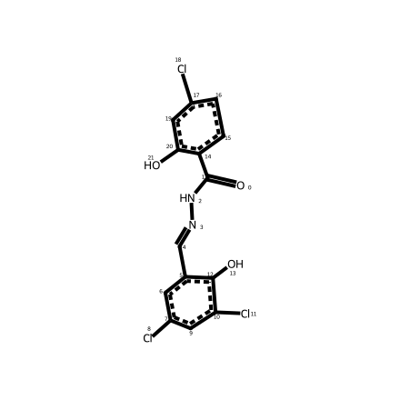 O=C(N/N=C/c1cc(Cl)cc(Cl)c1O)c1ccc(Cl)cc1O